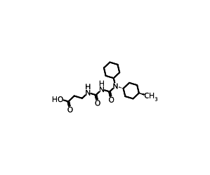 C[C@H]1CC[C@H](N(C(=O)NC(=O)NCCC(=O)O)C2CCCCC2)CC1